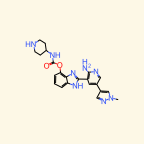 Cn1cc(-c2cnc(N)c(-c3nc4c(OC(=O)NC5CCNCC5)cccc4[nH]3)c2)cn1